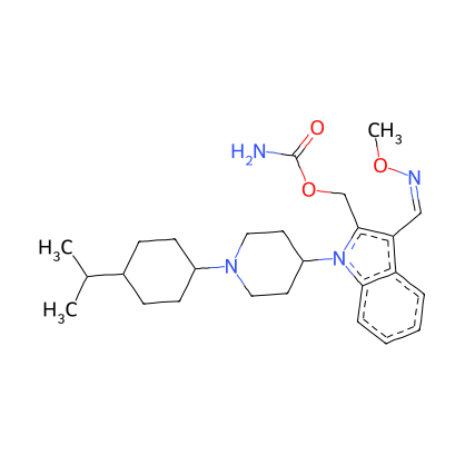 CO/N=C\c1c(COC(N)=O)n(C2CCN(C3CCC(C(C)C)CC3)CC2)c2ccccc12